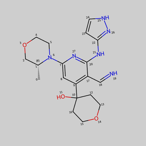 C[C@@H]1COCCN1c1cc(C2(O)CCOCC2)c(C=N)c(Nc2cc[nH]n2)n1